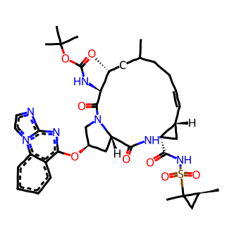 CC1CC/C=C\[C@@H]2C[C@@]2(C(=O)NS(=O)(=O)C2(C)C[C@@H]2C)NC(=O)[C@@H]2C[C@@H](Oc3nc4nccn4c4ccccc34)CN2C(=O)[C@@H](NC(=O)OC(C)(C)C)[C@H](C)C1